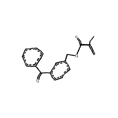 C=C(C)C(=O)OCc1cccc(C(=O)c2ccccc2)c1